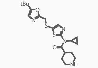 CC(C)(C)c1cnc(CSc2cnc(N(C(=O)C3CCNCC3)C3CC3)s2)o1